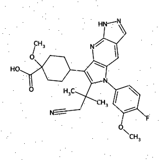 COc1cc(-n2c(C(C)(C)CC#N)c(C3CCC(OC)(C(=O)O)CC3)c3nc4[nH]ncc4cc32)ccc1F